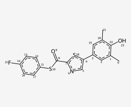 Cc1cc(-c2cnc(C(=O)Sc3ccc(F)cc3)s2)cc(C)c1O